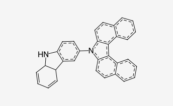 C1=CC2Nc3ccc(-n4c5ccc6ccccc6c5c5c6ccccc6ccc54)cc3C2C=C1